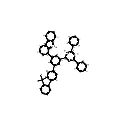 CC1(C)c2ccccc2-c2ccc(-c3cc(-c4nc(-c5ccccc5)nc(-c5ccccc5)n4)cc(-c4cccc5c4oc4ccccc45)c3)cc21